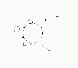 CCCCCC[C@H]1OC[C@@H](C)NC(=O)[C@H](CNC(=O)CNCCN)NC(=O)[C@H](CN)NC(=O)[C@H](C2CCCCC2)NC(=O)[C@H](CC(C)C)N(C)C(=O)[C@@H]1C